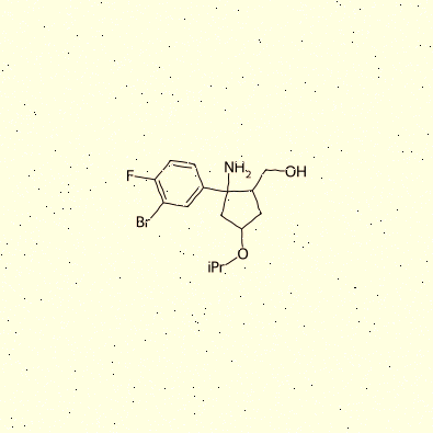 CC(C)OC1CC(CO)C(N)(c2ccc(F)c(Br)c2)C1